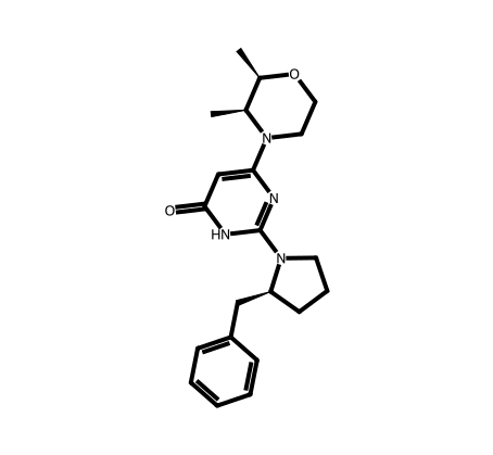 C[C@H]1OCCN(c2cc(=O)[nH]c(N3CCC[C@H]3Cc3ccccc3)n2)[C@H]1C